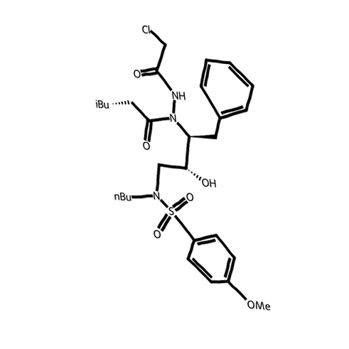 CCCCN(C[C@@H](O)[C@H](Cc1ccccc1)N(NC(=O)CCl)C(=O)C[C@@H](C)CC)S(=O)(=O)c1ccc(OC)cc1